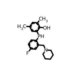 Cc1cc(C)c(O)c(Pc2ccc(F)cc2CN2CCCCC2)c1